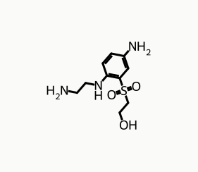 NCCNc1ccc(N)cc1S(=O)(=O)CCO